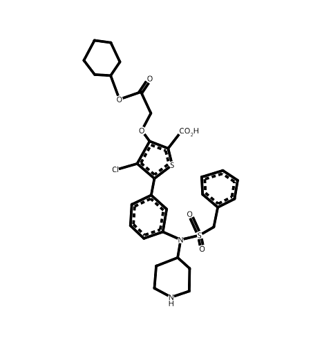 O=C(COc1c(C(=O)O)sc(-c2cccc(N(C3CCNCC3)S(=O)(=O)Cc3ccccc3)c2)c1Cl)OC1CCCCC1